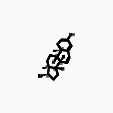 CC[C@H]1CC[C@H]2[C@@H]3C=CC4=CC(O)=CC[C@]4(C)[C@H]3CC[C@]12C